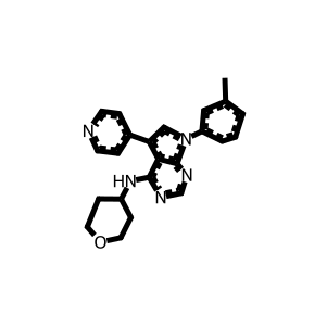 Cc1cccc(-n2cc(-c3ccncc3)c3c(NC4CCOCC4)ncnc32)c1